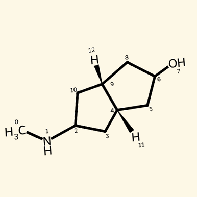 CNC1C[C@H]2CC(O)C[C@H]2C1